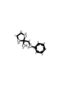 CC1(COc2c[c]ccc2)OCCO1